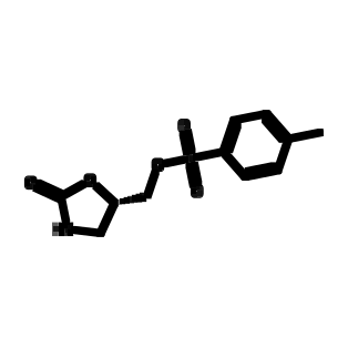 Cc1ccc(S(=O)(=O)OC[C@@H]2CNC(=O)O2)cc1